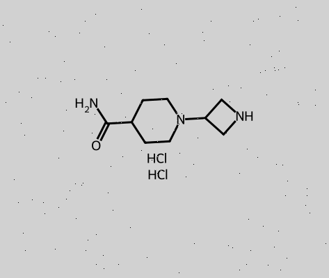 Cl.Cl.NC(=O)C1CCN(C2CNC2)CC1